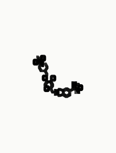 CS(=O)(=O)N1CCC(COc2coc(CN3Cc4ccc(-c5ncon5)cc4C3)cc2=O)CC1